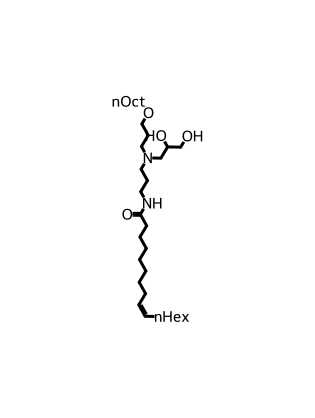 CCCCCC/C=C\CCCCCCCC(=O)NCCCN(CCCOCCCCCCCC)CC(O)CO